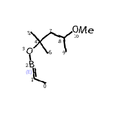 C/C=B/OC(C)(C)CC(C)OC